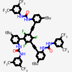 CC(C)(C)c1ccc(NC(=O)Nc2cc(C(F)(F)F)cc(C(F)(F)F)c2)c(C#Cc2c(F)c(C#Cc3cc(C(C)(C)C)ccc3NC(=O)Nc3cc(C(F)(F)F)cc(C(F)(F)F)c3)c(F)c(-c3cc(C(C)(C)C)ccc3NC(=O)Nc3cc(C(F)(F)F)cc(C(F)(F)F)c3)c2F)c1